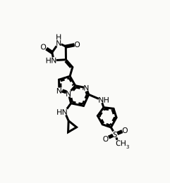 CS(=O)(=O)c1ccc(Nc2cc(NC3CC3)n3ncc(/C=C4\NC(=O)NC4=O)c3n2)cc1